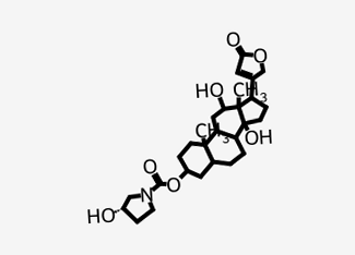 CC12CCC(OC(=O)N3CC[C@H](O)C3)CC1CCC1C2CC(O)C2(C)C(C3=CC(=O)OC3)CCC12O